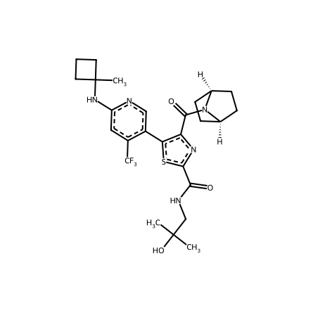 CC(C)(O)CNC(=O)c1nc(C(=O)N2[C@H]3CC[C@@H]2CC3)c(-c2cnc(NC3(C)CCC3)cc2C(F)(F)F)s1